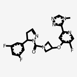 Cn1cnnc1-c1cc(OC2CN(C(=O)N3N=CCC3c3cc(F)cc(F)c3)C2)c(F)cn1